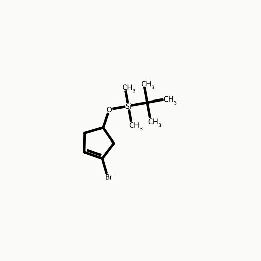 CC(C)(C)[Si](C)(C)OC1CC=C(Br)C1